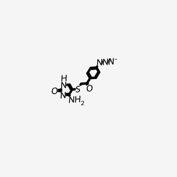 [N-]=[N+]=Nc1ccc(C(=O)CSc2c[nH]c(=O)nc2N)cc1